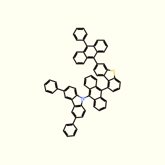 c1ccc(-c2ccc3c(c2)c2cc(-c4ccccc4)ccc2n3-c2c3ccccc3c(-c3cccc4sc5cc(-c6c7ccccc7c(-c7ccccc7)c7ccccc67)ccc5c34)c3ccccc23)cc1